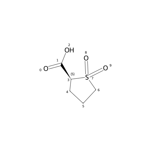 O=C(O)[C@@H]1CCCS1(=O)=O